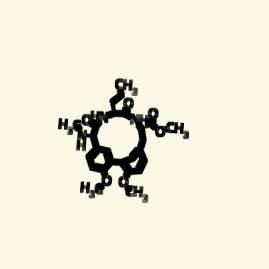 CCC[C@@H]1NC(=O)[C@@H](NC)c2ccc(OC)c(c2)-c2cc(ccc2OC)C[C@@H](C(=O)OC)NC1=O